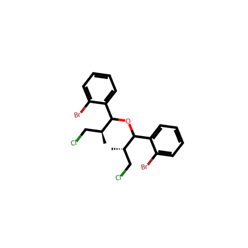 C[C@@H](CCl)C(OC(c1ccccc1Br)[C@@H](C)CCl)c1ccccc1Br